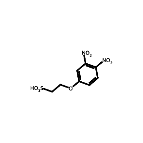 O=[N+]([O-])c1ccc(OCCS(=O)(=O)O)cc1[N+](=O)[O-]